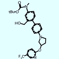 CN(C(=O)OC(C)(C)C)c1ccc(-c2ccc(N3CCC(Oc4ccc(C(F)(F)F)cn4)C3)cc2)c(CO)c1